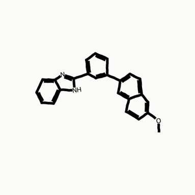 COc1ccc2cc(-c3cccc(-c4nc5ccccc5[nH]4)c3)ccc2c1